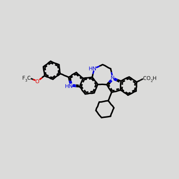 O=C(O)c1ccc2c(C3CCCCC3)c3n(c2c1)CCNc1c-3ccc2[nH]c(-c3cccc(OC(F)(F)F)c3)cc12